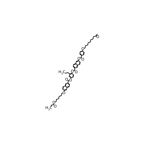 C=CC(=O)OCCCCCCOc1ccc2cc(C(=O)Oc3ccc(OC(=O)c4ccc5cc(OC(=O)c6ccc(OCCCCCCCCC7CO7)cc6)ccc5c4)c(CCC)c3)ccc2c1